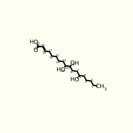 CCCCCC(O)CCC(O)C(O)CCCCC/C=C/C(=O)O